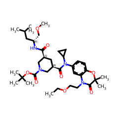 CCOCCN1C(=O)C(C)(C)Oc2ccc(N(C(=O)[C@@H]3C[C@H](C(=O)N[C@@H](COC)CC(C)C)CN(C(=O)OC(C)(C)C)C3)C3CC3)cc21